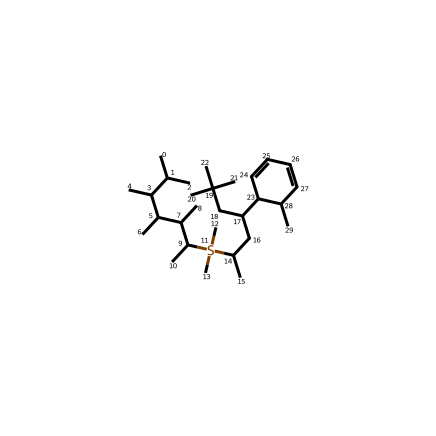 CC(C)C(C)C(C)C(C)C(C)S(C)(C)C(C)CC(CC(C)(C)C)C1C=CC=CC1C